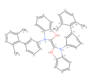 Cc1cccc(C)c1-c1cccc(N2/C(=C3\Oc4ccccc4N3c3cccc(-c4c(C)cccc4C)c3)Oc3ccccc32)c1